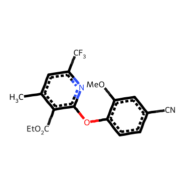 CCOC(=O)c1c(C)cc(C(F)(F)F)nc1Oc1ccc(C#N)cc1OC